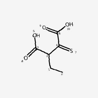 CCC(C(=O)O)C(=S)C(=O)O